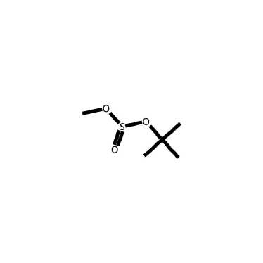 COS(=O)OC(C)(C)C